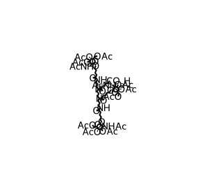 CC(=O)NC1C(OC(C)=O)[C@@H](OC(C)=O)C(COC(C)=O)O[C@H]1OCCCCC(=O)NCCCN(CCCN(CCCNC(=O)CCCCO[C@@H]1OC(COC(C)=O)[C@H](OC(C)=O)C(OC(C)=O)C1NC(C)=O)C(=O)CCCCC(=O)O)C(=O)CCCCO[C@@H]1OC(COC(C)=O)[C@H](OC(C)=O)C(OC(C)=O)C1NC(C)=O